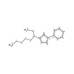 CCCCCC(CC)c1coc(-c2ccccc2)n1